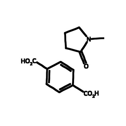 CN1CCCC1=O.O=C(O)c1ccc(C(=O)O)cc1